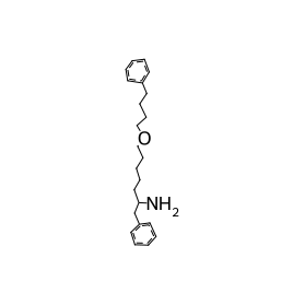 NC(CCCCCOCCCCc1ccccc1)Cc1ccccc1